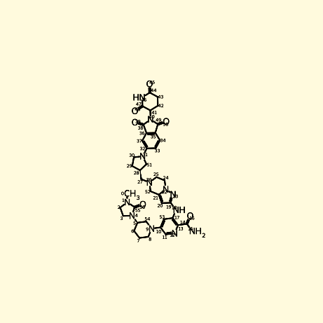 CN1CCN([C@@H]2CCCN(c3cnc(C(N)=O)c(Nc4cc5n(n4)CCN(C[C@H]4CCN(c6ccc7c(c6)C(=O)N(C6CCC(=O)NC6=O)C7=O)C4)C5)c3)C2)C1=O